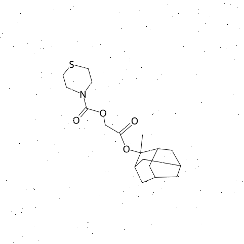 CC1(OC(=O)COC(=O)N2CCSCC2)C2CC3CC(C2)CC1C3